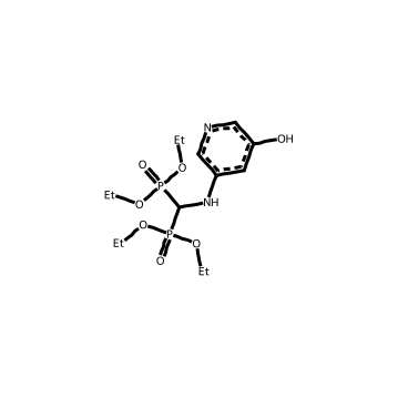 CCOP(=O)(OCC)C(Nc1cncc(O)c1)P(=O)(OCC)OCC